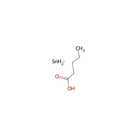 CCCCC(=O)O.[SnH2]